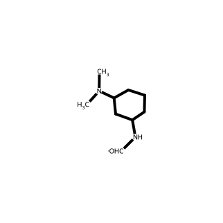 CN(C)C1CCCC(N[C]=O)C1